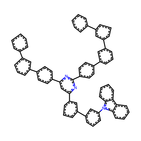 c1ccc(-c2cccc(-c3ccc(-c4cc(-c5cccc(-c6cccc(-n7c8ccccc8c8ccccc87)c6)c5)nc(-c5ccc(-c6cccc(-c7cccc(-c8ccccc8)c7)c6)cc5)n4)cc3)c2)cc1